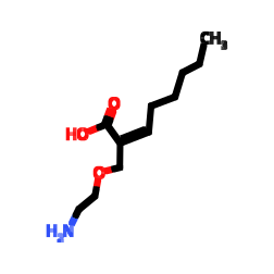 CCCCCC=C(COCCN)C(=O)O